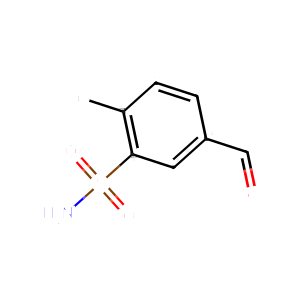 Cc1ccc(C=O)cc1S(N)(=O)=O